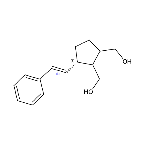 OCC1CC[C@@H](/C=C/c2ccccc2)C1CO